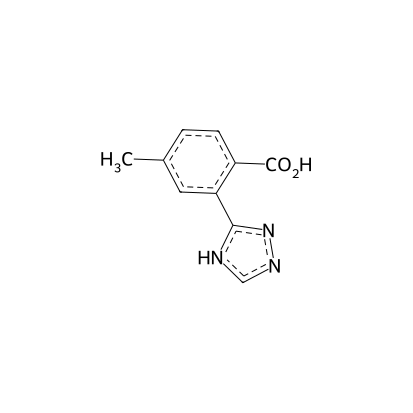 Cc1ccc(C(=O)O)c(-c2nnc[nH]2)c1